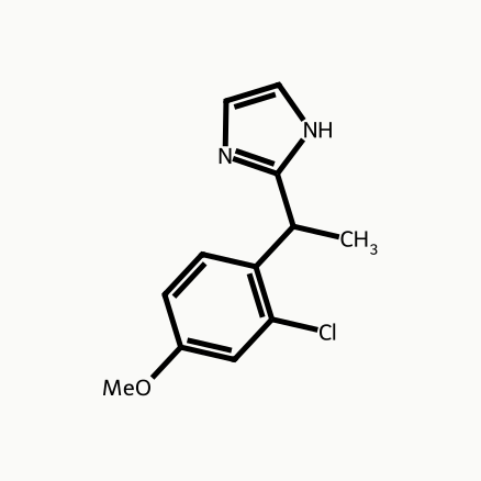 COc1ccc(C(C)c2ncc[nH]2)c(Cl)c1